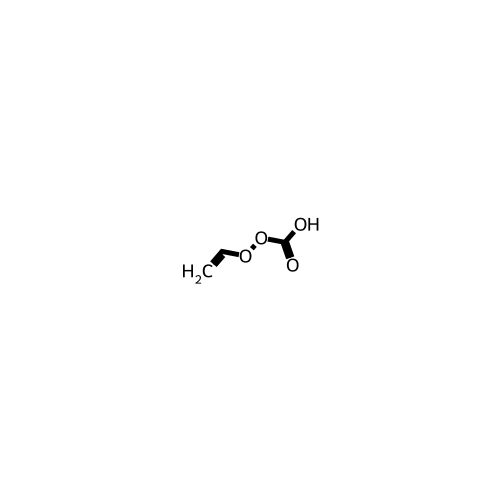 C=COOC(=O)O